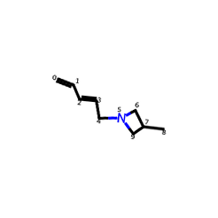 C=C/C=C/CN1CC(C)C1